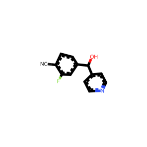 N#Cc1ccc(C(O)c2ccncc2)cc1F